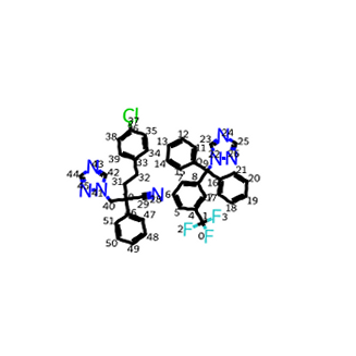 FC(F)(F)c1cccc(C(c2ccccc2)(c2ccccc2)n2cncn2)c1.N#CC(CCc1ccc(Cl)cc1)(Cn1cncn1)c1ccccc1